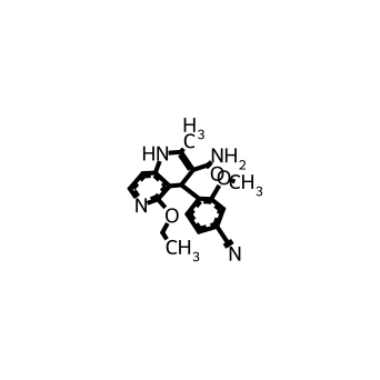 CCOc1nccc2c1C(c1ccc(C#N)cc1OC)C(C(N)=O)=C(C)N2